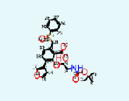 CC(C)(C)OC(=O)NCCOc1c(-c2ccoc2)ccc(C[S+]([O-])c2ccccc2)c1C(=O)O